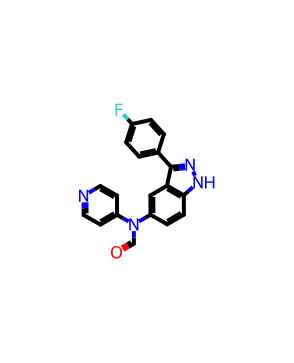 O=CN(c1ccncc1)c1ccc2[nH]nc(-c3ccc(F)cc3)c2c1